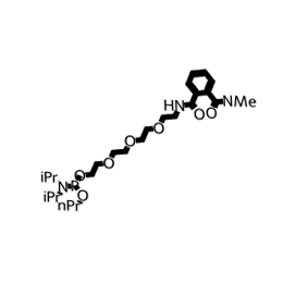 CCCOP(OCCOCCOCCOCCNC(=O)c1ccccc1C(=O)NC)N(C(C)C)C(C)C